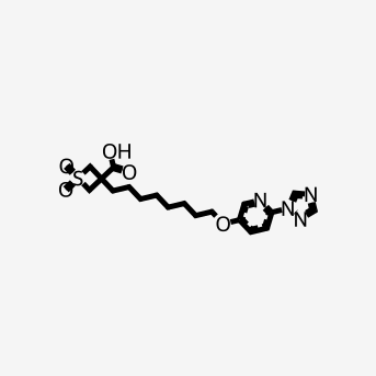 O=C(O)C1(CCCCCCCCOc2ccc(-n3cncn3)nc2)CS(=O)(=O)C1